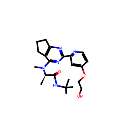 C[C@H](C(=O)NC(C)(C)C)N(C)c1nc(-c2cc(OCCO)ccn2)nc2c1CCC2